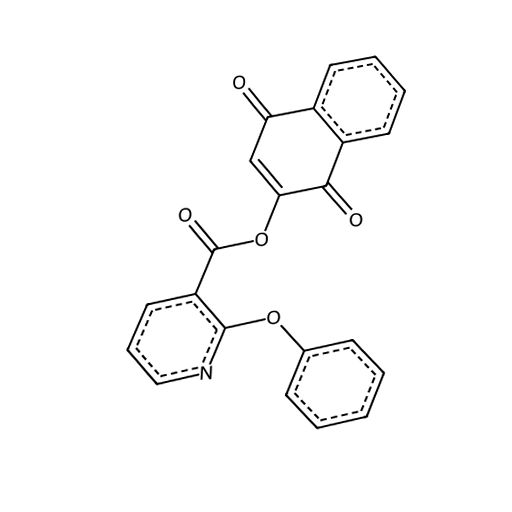 O=C1C=C(OC(=O)c2cccnc2Oc2ccccc2)C(=O)c2ccccc21